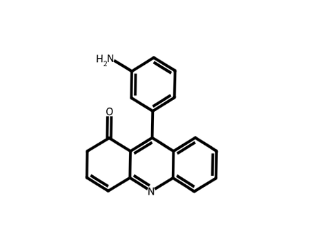 Nc1cccc(-c2c3c(nc4ccccc24)C=CCC3=O)c1